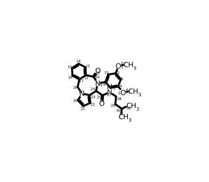 COc1cc(OC)cc(N2C(=O)c3ccccc3Cn3cccc3C2C(=O)NCCC(C)C)c1